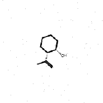 C=C(C)[C@@H]1CCCC[C@@H]1O